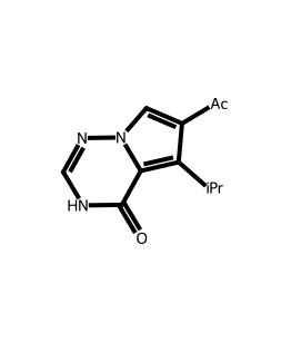 CC(=O)c1cn2nc[nH]c(=O)c2c1C(C)C